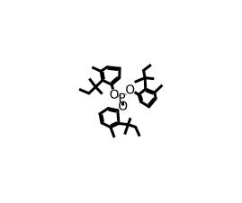 CCC(C)(C)c1c(C)cccc1OP(Oc1cccc(C)c1C(C)(C)CC)Oc1cccc(C)c1C(C)(C)CC